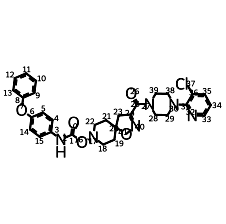 O=C(Nc1ccc(Oc2ccccc2)cc1)ON1CCC2(CC1)CC(C(=O)N1CCN(c3ncccc3Cl)CC1)=NO2